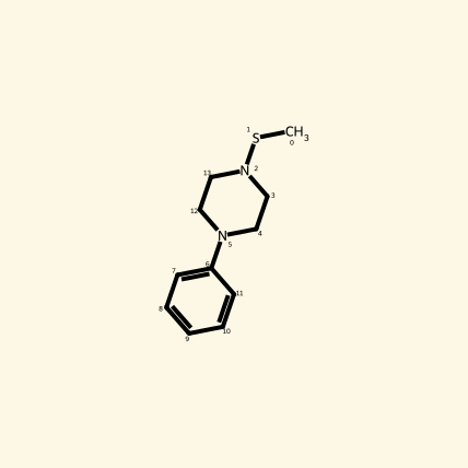 CSN1CCN(c2ccccc2)CC1